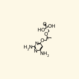 C[C@@H](COc1cc(N)nc(N)n1)OCP(=O)(O)O